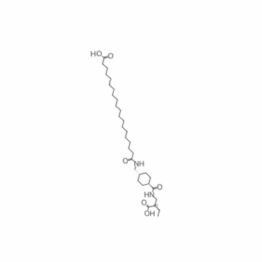 CC[C@H](CNC(=O)[C@H]1CC[C@H](CNC(=O)CCCCCCCCCCCCCCCCCCC(=O)O)CC1)C(=O)O